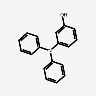 Oc1cccc(N(c2ccccc2)c2ccccc2)c1